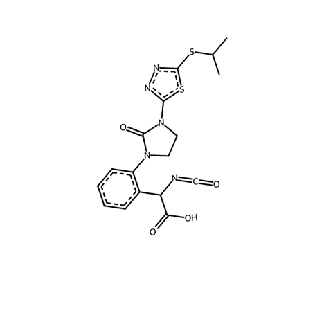 CC(C)Sc1nnc(N2CCN(c3ccccc3C(N=C=O)C(=O)O)C2=O)s1